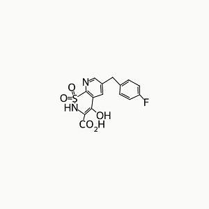 O=C(O)C1=C(O)c2cc(Cc3ccc(F)cc3)cnc2S(=O)(=O)N1